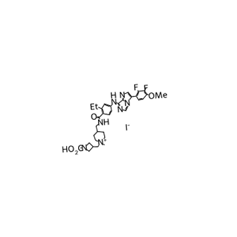 CCc1cc(Nc2nccn3c(-c4ccc(OC)c(F)c4F)cnc23)ccc1C(=O)NCC1CC[N+](C)(CC2CN(C(=O)O)C2)CC1.[I-]